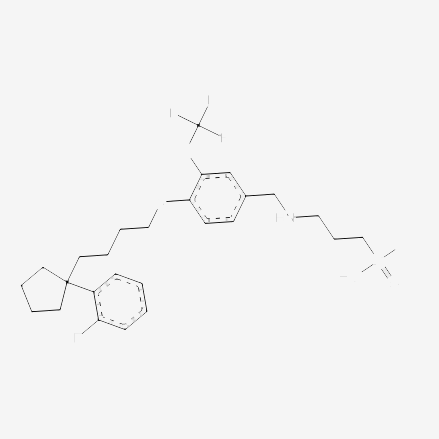 O=P(O)(O)CCCNCc1ccc(SCCCCC2(c3ccccc3F)CCCC2)c(OC(F)(F)F)c1